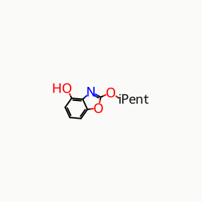 CCCC(C)Oc1nc2c(O)cccc2o1